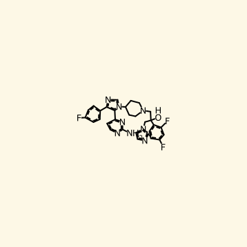 Nc1nccc(-c2c(-c3ccc(F)cc3)ncn2C2CCN(CC(O)(Cn3ccnn3)c3ccc(F)cc3F)CC2)n1